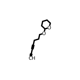 C#CC#CCCCOC1CCCCO1